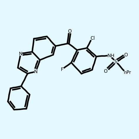 CCCS(=O)(=O)Nc1ccc(F)c(C(=O)c2ccc3ncc(-c4ccccc4)nc3c2)c1Cl